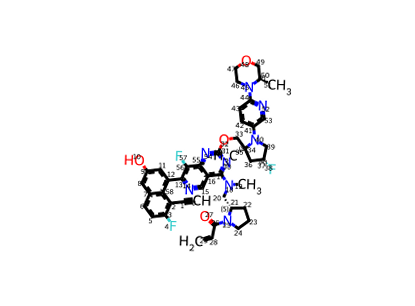 C#Cc1c(F)ccc2cc(O)cc(-c3ncc4c(N(C)C[C@@H]5CCCN5C(=O)C=C)nc(OC[C@]5(C)C[C@@H](F)CN5c5ccc(N6CCOC[C@H]6C)nc5)nc4c3F)c12